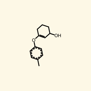 Cc1ccc(OC2=CC(O)CCC2)cc1